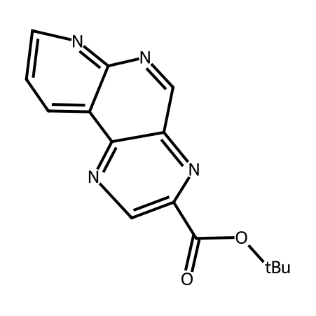 CC(C)(C)OC(=O)c1cnc2c(cnc3ncccc32)n1